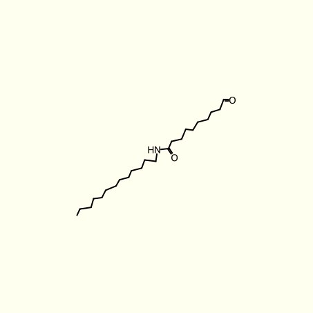 CCCCCCCCCCCCCNC(=O)CCCCCCCCC=O